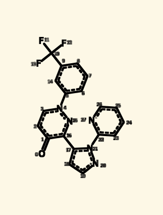 O=c1ccn(-c2cccc(C(F)(F)F)c2)nc1-c1ccnn1-c1ccccn1